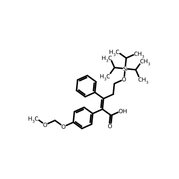 COCOc1ccc(/C(C(=O)O)=C(/CCO[Si](C(C)C)(C(C)C)C(C)C)c2ccccc2)cc1